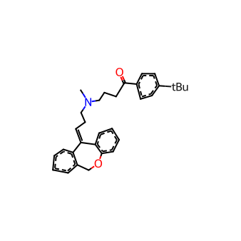 CN(CCC=C1c2ccccc2COc2ccccc21)CCCC(=O)c1ccc(C(C)(C)C)cc1